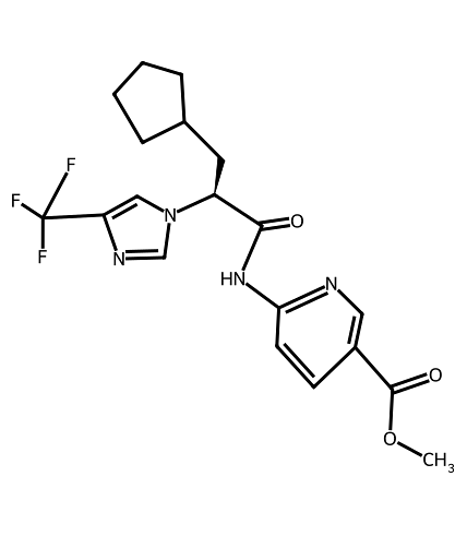 COC(=O)c1ccc(NC(=O)[C@H](CC2CCCC2)n2cnc(C(F)(F)F)c2)nc1